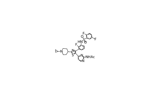 CC(=O)Nc1nccc(-c2sc(C3CCN(C4CC4)CC3)nc2-c2cccc(NS(=O)(=O)c3cc(F)ccc3F)c2F)n1